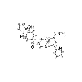 CCC1CN(c2ccccn2)CC2(CCN(C(=O)c3ccc(C4(O)CCCC4)c(F)c3)CC2)O1